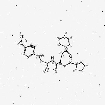 CCC(CNc1ccc(OC(F)(F)F)cc1)NC(=O)C(CCC1CCCC1)CC(=O)N1CCOCC1